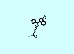 COc1ccc(C(=NOCCCCC(=O)O)c2cccnc2)c2ccccc12